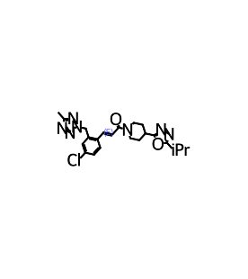 Cc1nnn(Cc2cc(Cl)ccc2/C=C/C(=O)N2CCC(c3nnc(C(C)C)o3)CC2)n1